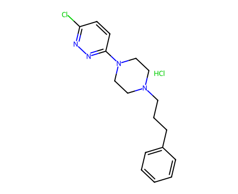 Cl.Clc1ccc(N2CCN(CCCc3ccccc3)CC2)nn1